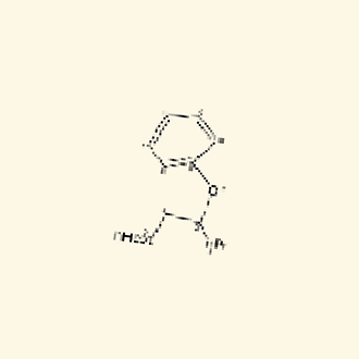 CCCCCCCCC(CCC)Oc1cc[c]cc1